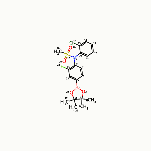 CC1(C)OB(c2ccc(N(c3ccccc3Cl)S(C)(=O)=O)c(F)c2)OC1(C)C